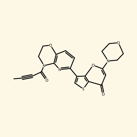 CC#CC(=O)N1CCOc2ccc(-c3csc4c(=O)cc(N5CCOCC5)oc34)nc21